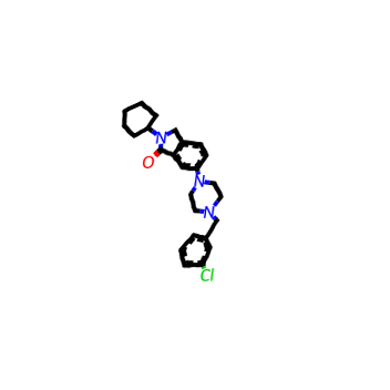 O=C1c2cc(N3CCN(Cc4cccc(Cl)c4)CC3)ccc2CN1C1CCCCC1